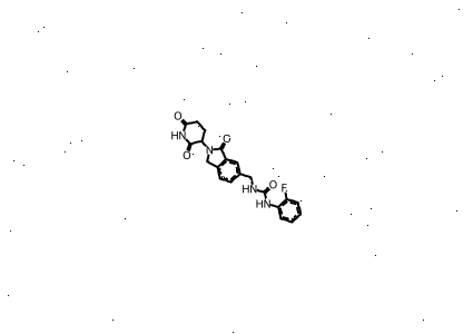 O=C1CCC(N2Cc3ccc(CNC(=O)Nc4ccccc4F)cc3C2=O)C(=O)N1